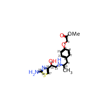 COC(=O)COc1ccc(CC(C)NCC(O)c2csc(N)n2)cc1